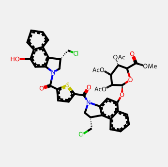 COC(=O)C1O[C@@H](Oc2cc3c(c4ccccc24)[C@H](CCl)CN3C(=O)c2ccc(C(=O)N3C[C@@H](CCl)c4c3cc(O)c3ccccc43)s2)C(OC(C)=O)C(OC(C)=O)[C@@H]1OC(C)=O